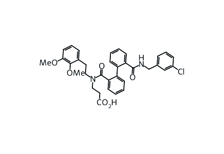 COc1cccc(CCN(CCC(=O)O)C(=O)c2ccccc2-c2ccccc2C(=O)NCc2cccc(Cl)c2)c1OC